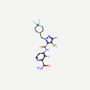 Cc1nn(CC2CCC(F)(F)CC2)c(C(=O)Nc2ccnc(C(N)=O)c2F)c1C(F)(F)F